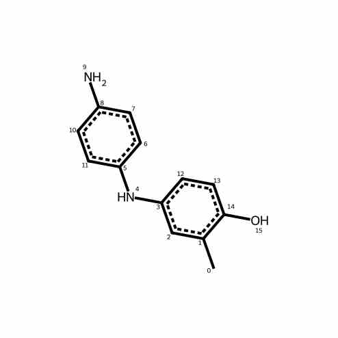 Cc1cc(Nc2ccc(N)cc2)ccc1O